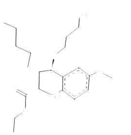 CCCCC[C@H]1[C@@H](C(=O)OCC)Nc2ccc(OC)cc2[C@@H]1SCCCS